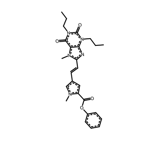 CCCn1c(=O)c2c(nc(C=Cc3cc(C(=O)Oc4ccccc4)n(C)c3)n2C)n(CCC)c1=O